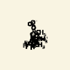 Cc1cc(C)c2c(c1)[C@@H](N(Cc1cc(C(F)(F)F)cc(C(F)(F)F)c1)c1nnn(C)n1)CCCN2C[C@H]1CC[C@H](C(=O)[O-])CC1.[Na+]